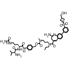 CCCN(CCCN(C)C(=O)OCc1ccc(NC(=O)[C@H](CCCNC(N)=O)NC(=O)[C@@H](N)C(C)C)cc1)C(=O)C1=Cc2ccc(-c3cccc(S(=O)(=O)N4CC(CO)C4)c3)cc2N=C(N)C1